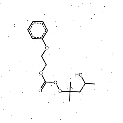 CC(O)CC(C)(C)OOC(=O)OCCOc1ccccc1